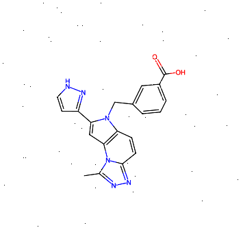 Cc1nnc2ccc3c(cc(-c4cc[nH]n4)n3Cc3cccc(C(=O)O)c3)n12